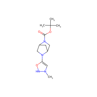 CN1C=C(N2CC3CC2CN3C(=O)OC(C)(C)C)ON1